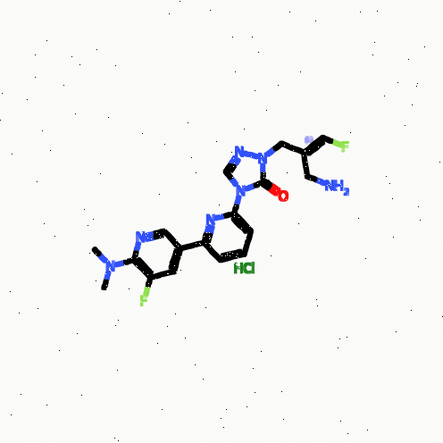 CN(C)c1ncc(-c2cccc(-n3cnn(C/C(=C/F)CN)c3=O)n2)cc1F.Cl